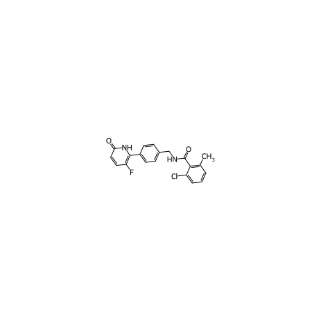 Cc1cccc(Cl)c1C(=O)NCc1ccc(-c2[nH]c(=O)ccc2F)cc1